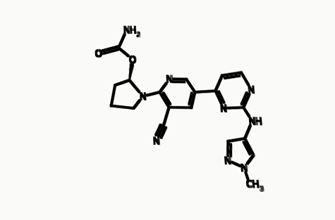 Cn1cc(Nc2nccc(-c3cnc(N4CCC[C@H]4OC(N)=O)c(C#N)c3)n2)cn1